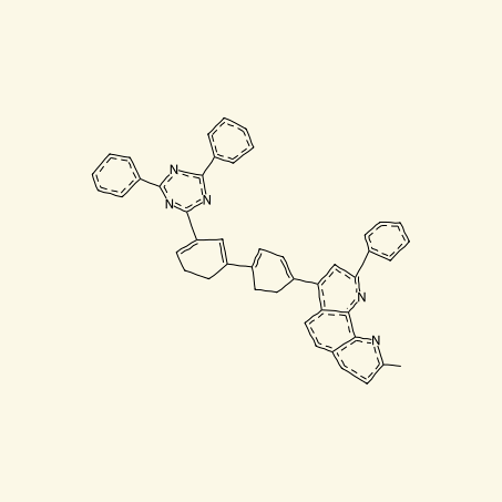 Cc1ccc2ccc3c(C4=CC=C(C5=CC(c6nc(-c7ccccc7)nc(-c7ccccc7)n6)=CCC5)CC4)cc(-c4ccccc4)nc3c2n1